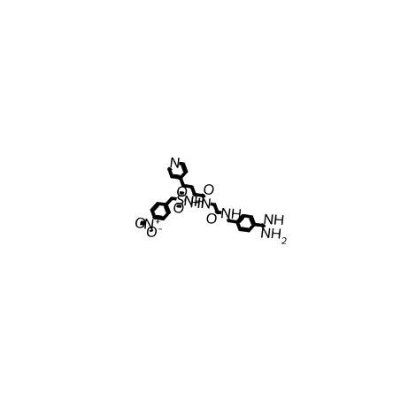 N=C(N)c1ccc(CNC(=O)CNC(=O)C(CCc2ccncc2)NS(=O)(=O)Cc2ccc([N+](=O)[O-])cc2)cc1